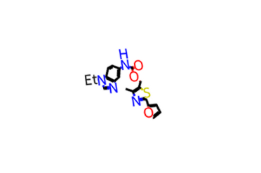 CCn1cnc2cc(NC(=O)OCc3sc(-c4ccco4)nc3C)ccc21